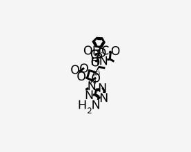 CC(NP(=O)(Oc1ccccc1)OC(C)[C@H]1O[C@@H](n2cnc3c(N)ncnc32)C2OC(=O)OC21)C(=O)C=O